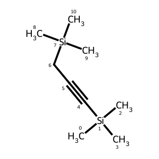 C[Si](C)(C)C#CC[Si](C)(C)C